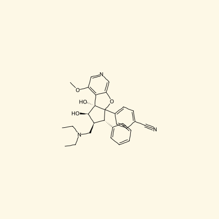 CCN(CC)C[C@@H]1[C@@H](c2ccccc2)C2(c3ccc(C#N)cc3)Oc3cncc(OC)c3[C@]2(O)[C@@H]1O